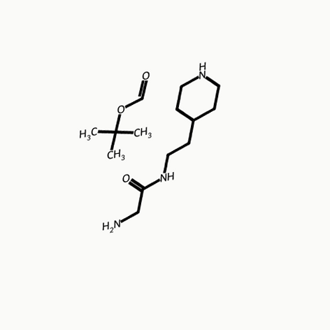 CC(C)(C)OC=O.NCC(=O)NCCC1CCNCC1